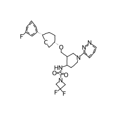 O=S(=O)(NC1CCN(c2cccnn2)CC1CO[C@H]1CC[C@@H](c2cccc(F)c2)CC1)N1CC(F)(F)C1